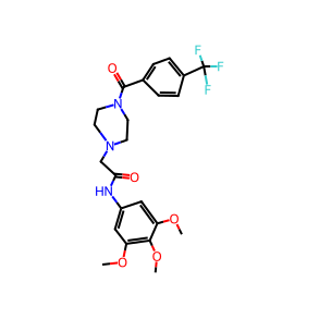 COc1cc(NC(=O)CN2CCN(C(=O)c3ccc(C(F)(F)F)cc3)CC2)cc(OC)c1OC